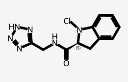 O=C(NCc1nn[nH]n1)[C@@H]1Cc2ccccc2N1Cl